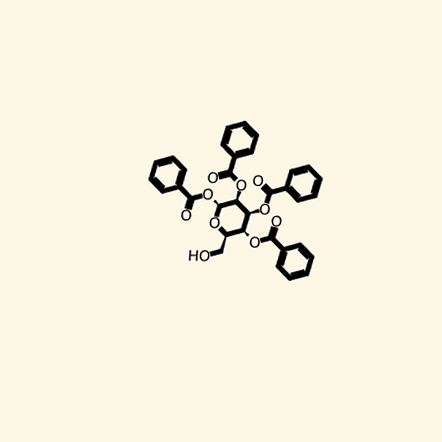 O=C(O[C@H]1O[C@H](CO)[C@@H](OC(=O)c2ccccc2)[C@H](OC(=O)c2ccccc2)[C@@H]1OC(=O)c1ccccc1)c1ccccc1